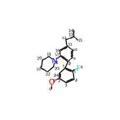 COc1ccc(F)c(-c2ccc(CC(C)C)cc2N2CCCCC2)c1